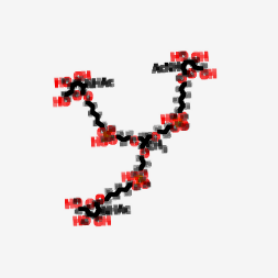 CC(=O)NC1[C@H](OCCCCCCOP(=O)(O)OCCCOCC(C)(COCCCOP(=O)(O)OCCCCCCO[C@@H]2OC(CO)[C@H](O)C(O)[C@@H]2NC(C)=O)COCCCOP(=O)(O)OCCCCCCO[C@@H]2OC(CO)[C@H](O)C(O)[C@@H]2NC(C)=O)OC(CO)[C@H](O)[C@@H]1O